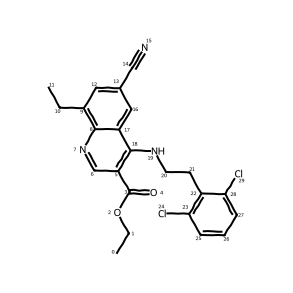 CCOC(=O)c1cnc2c(CC)cc(C#N)cc2c1NCCc1c(Cl)cccc1Cl